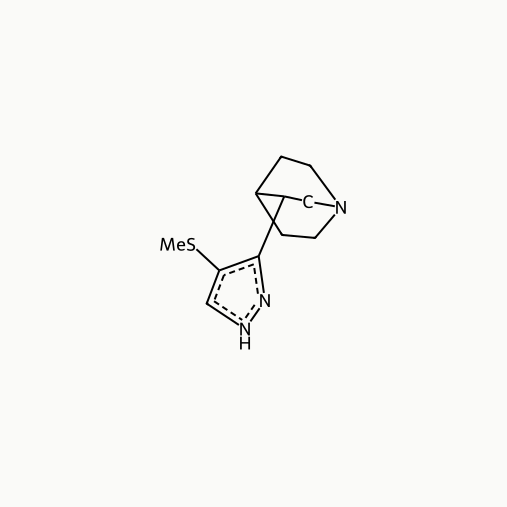 CSc1c[nH]nc1C1CN2CCC1CC2